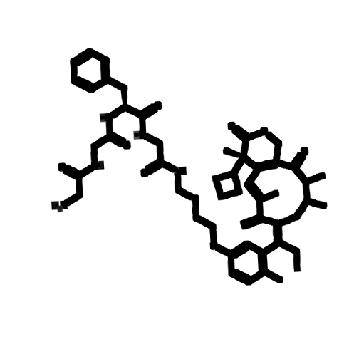 C=C1/C(=C(/CC)c2cc(OCCOCNC(=O)CNC(=O)[C@H](Cc3ccccc3)NC(=O)CNC(=O)CN)ccc2C)CC(C)C(C)C(=O)C2=C(/C=C/1C)[C@](C)(C1CCC1)C(=O)OC2